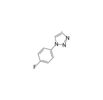 Fc1ccc(-n2c[c]nn2)cc1